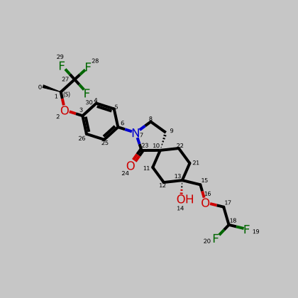 C[C@H](Oc1ccc(N2CC[C@]3(CC[C@](O)(COCC(F)F)CC3)C2=O)cc1)C(F)(F)F